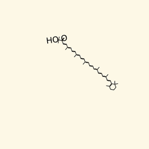 CC1=C(/C=C/C(C)=C/C=C/C(C)=C/C=C/C=C(C)/C=C/C=C(C)/C=C/C=C(C)/C=C/C(=O)C(C)(C)O)C(C)(C)CCC1